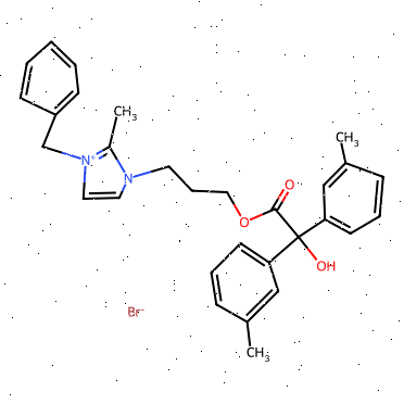 Cc1cccc(C(O)(C(=O)OCCCn2cc[n+](Cc3ccccc3)c2C)c2cccc(C)c2)c1.[Br-]